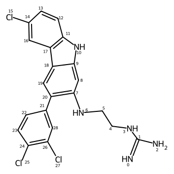 N=C(N)NCCNc1cc2[nH]c3ccc(Cl)cc3c2cc1-c1ccc(Cl)c(Cl)c1